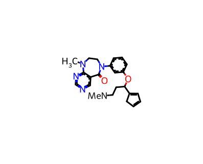 CNCCC(Oc1cccc(N2CCN(C)c3ncncc3C2=O)c1)C1=CC=CC1